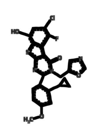 COc1ccc(-c2nc3sc4c(O)cc(Cl)c(F)c4c3c(=O)n2Cc2cnco2)c(C2CC2)c1